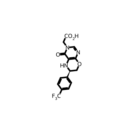 O=C(O)Cn1cnc2c(c1=O)N[C@H](c1ccc(C(F)(F)F)cc1)CO2